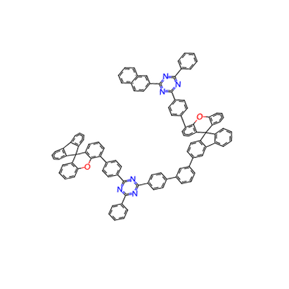 c1ccc(-c2nc(-c3ccc(-c4cccc(-c5ccc6c(c5)-c5ccccc5C65c6ccccc6Oc6c(-c7ccc(-c8nc(-c9ccccc9)nc(-c9ccc%10ccccc%10c9)n8)cc7)cccc65)c4)cc3)nc(-c3ccc(-c4cccc5c4Oc4ccccc4C54c5ccccc5-c5ccccc54)cc3)n2)cc1